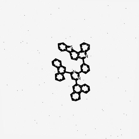 c1cc(-c2nc(-c3cc4ccccc4c4ccccc34)cc(-c3cc4ccccc4c4ccccc34)n2)cc(-c2nc3ccccc3c3c2ccc2c4ccccc4sc23)c1